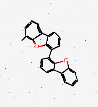 Cc1cccc2c1oc1c(-c3cccc4c3oc3ccccc34)cccc12